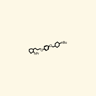 CCCCC1CCC(COc2ccc(OCCCC3CCCCC3CCC)cc2)CC1